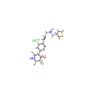 Cc1[nH]c(C)c(-c2ccc(C#CCN(C)Cc3ccsc3)cc2)c(=O)c1Cl.Cl